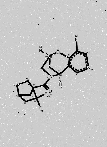 O=C(N1C[C@@H]2C[C@H]1c1cncc(F)c1O2)C12CCC(CC1(F)F)C2